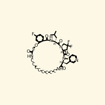 CC(C)C[C@H]1NC(=O)c2ccc(F)cc2OCC(=O)NCCCCCCCCNC(=O)[C@H](Cc2cccnc2)N(C)C(=O)[C@H]2CC(F)(F)CN2C1=O